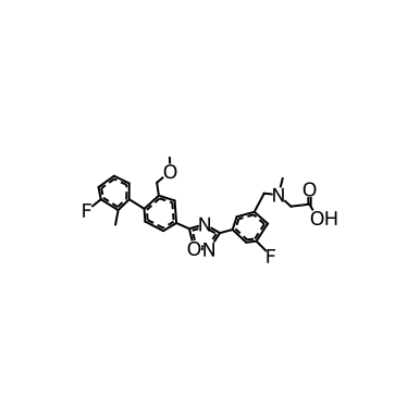 COCc1cc(-c2nc(-c3cc(F)cc(CN(C)CC(=O)O)c3)no2)ccc1-c1cccc(F)c1C